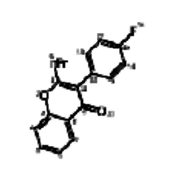 CCCc1oc2ccccc2c(=O)c1-c1ccc(F)cc1